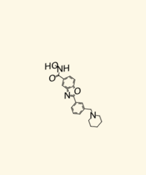 O=C(NO)c1ccc2oc(-c3cccc(CN4CCCCC4)c3)nc2c1